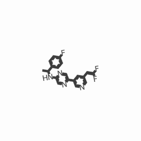 CC(Nc1cnc(-c2cncc(C=C(F)F)c2)cn1)c1ccc(F)cc1